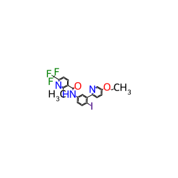 CCOc1ccc(-c2cc(NC(=O)c3ccc(C(F)(F)F)nc3C)ccc2I)nc1